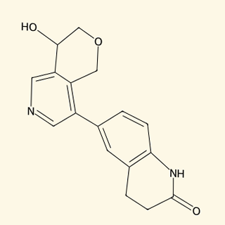 O=C1CCc2cc(-c3cncc4c3COCC4O)ccc2N1